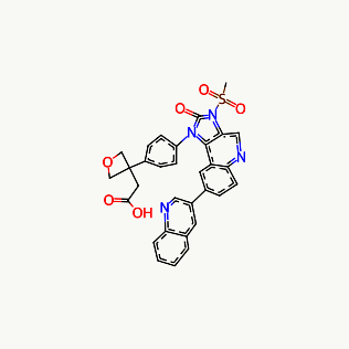 CS(=O)(=O)n1c(=O)n(-c2ccc(C3(CC(=O)O)COC3)cc2)c2c3cc(-c4cnc5ccccc5c4)ccc3ncc21